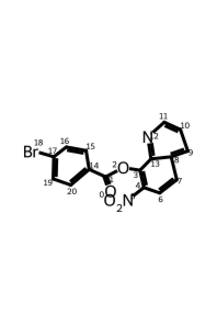 O=C(Oc1c([N+](=O)[O-])ccc2cccnc12)c1ccc(Br)cc1